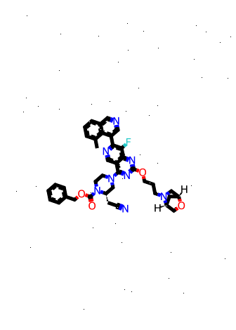 Cc1cccc2cncc(-c3ncc4c(N5CCN(C(=O)OCc6ccccc6)[C@@H](CC#N)C5)nc(OCCCN5C[C@@H]6C[C@H]5CO6)nc4c3F)c12